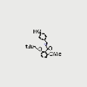 COc1cccc(OCCC(C)(C)C)c1C(=O)/C=C/c1ccc(O)cc1